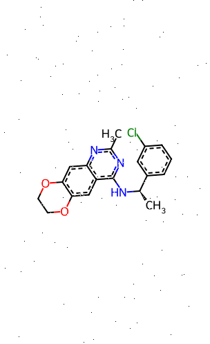 Cc1nc(N[C@H](C)c2cccc(Cl)c2)c2cc3c(cc2n1)OCCO3